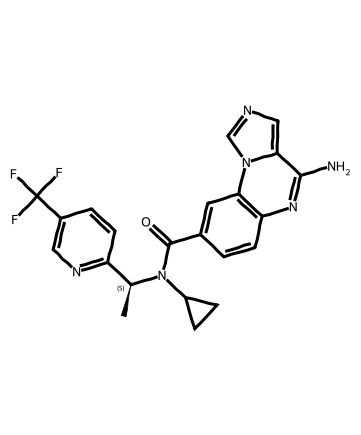 C[C@@H](c1ccc(C(F)(F)F)cn1)N(C(=O)c1ccc2nc(N)c3cncn3c2c1)C1CC1